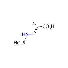 CC(=CNS(=O)(=O)O)C(=O)O